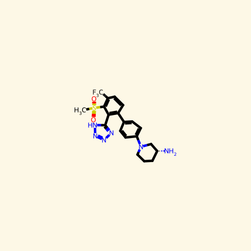 CS(=O)(=O)c1c(C(F)(F)F)ccc(-c2ccc(N3CCC[C@@H](N)C3)cc2)c1-c1nnn[nH]1